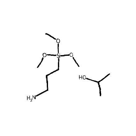 CC(C)O.CO[Si](CCCN)(OC)OC